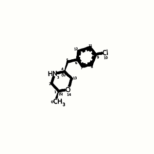 C[C@H]1CN[C@@H](Cc2ccc(Cl)cc2)CO1